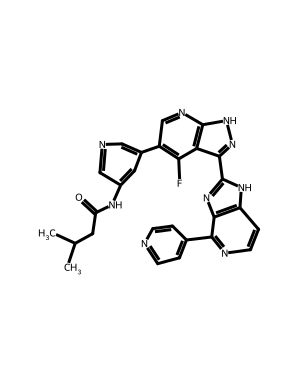 CC(C)CC(=O)Nc1cncc(-c2cnc3[nH]nc(-c4nc5c(-c6ccncc6)nccc5[nH]4)c3c2F)c1